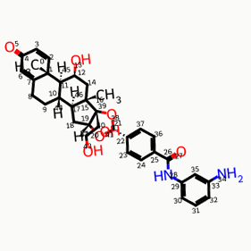 C[C@]12C=CC(=O)C=C1CC[C@@H]1[C@@H]2[C@@H](O)C[C@@]2(C)[C@H]1C[C@H]1O[C@@H](c3ccc(C(=O)Nc4cccc(N)c4)cc3)O[C@]12C(O)CO